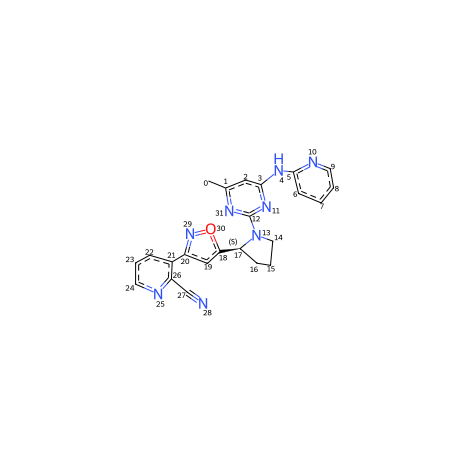 Cc1cc(Nc2ccccn2)nc(N2CCC[C@H]2c2cc(-c3cccnc3C#N)no2)n1